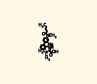 CCCCC(=O)N(C)c1ccc(-c2ccccc2-c2nnnn2[C@H](C(=O)O)C(C)C)cc1